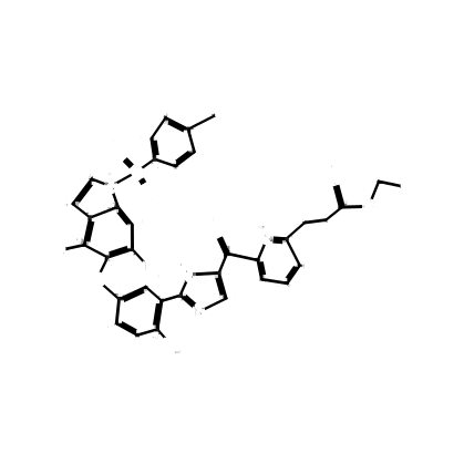 CCOC(=O)CCc1cccc(C(=O)c2cnc(-c3cc(Oc4c(F)cc5c(ccn5S(=O)(=O)c5ccc(C)cc5)c4C)ccc3F)[nH]2)n1